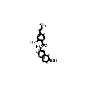 Cc1cc(C=CC(F)(F)F)ccc1C(=O)Nc1cnc2c(c1)CC(O)CC2